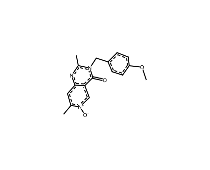 COc1ccc(Cn2c(C)nc3cc(C)[n+]([O-])cc3c2=O)cc1